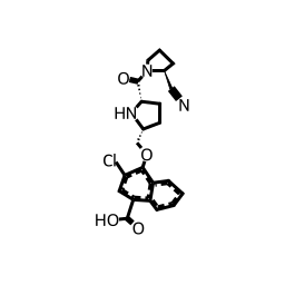 N#C[C@@H]1CCCN1C(=O)[C@@H]1CC[C@H](COc2c(Cl)cc(C(=O)O)c3ccccc23)N1